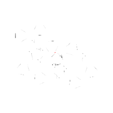 c1ccc(-c2nc(-c3ccccc3)nc(-n3c4ccccc4c4cccc(-c5ccc6c(c5)c5ccc7nc(-c8ccccc8)sc7c5n6-c5nc(-c6ccccc6)nc(-c6ccccc6)n5)c43)n2)cc1